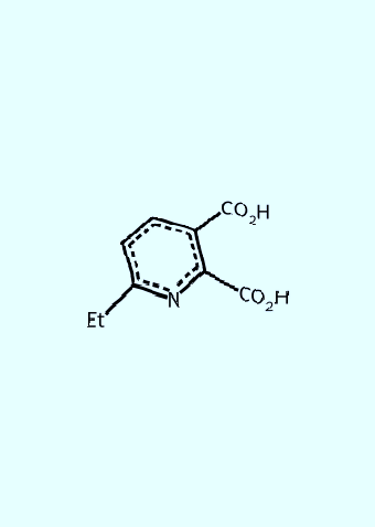 CCc1ccc(C(=O)O)c(C(=O)O)n1